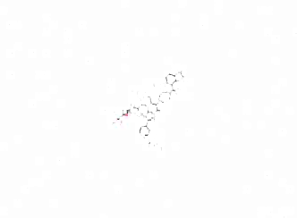 CCc1c(N2CCN(C(=O)c3c(O)ccc4ncoc34)CC2)c(=O)n2nc(-c3ccnc(OC)c3)nc2n1CC(=O)NC12CC(C(F)(F)F)(C1)C2